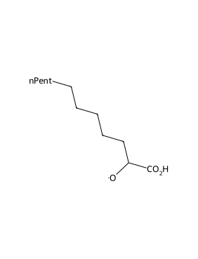 CCCCCCCCCCC([O])C(=O)O